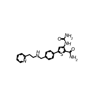 NC(=O)Nc1cc(-c2ccc(CNCCc3ccccn3)cc2)sc1C(N)=O